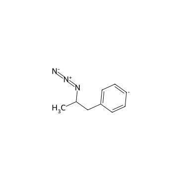 CC(Cc1cc[c]cc1)N=[N+]=[N-]